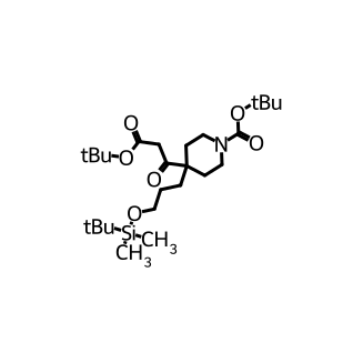 CC(C)(C)OC(=O)CC(=O)C1(CCCO[Si](C)(C)C(C)(C)C)CCN(C(=O)OC(C)(C)C)CC1